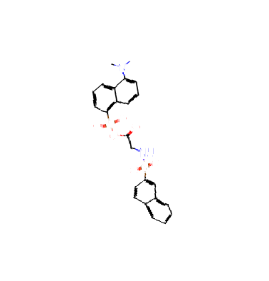 CN(C)c1cccc2c(S(=O)(=O)OC(=O)CNS(=O)(=O)c3ccc4ccccc4c3)cccc12